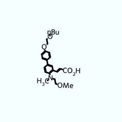 CCCCOCCOc1ccc(-c2ccc(N(C)CCOC)c(C=CC(=O)O)c2)cc1